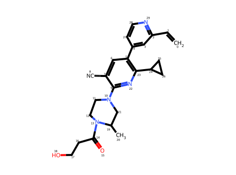 C=Cc1cc(-c2cc(C#N)c(N3CCN(C(=O)CCO)C(C)C3)nc2C2CC2)ccn1